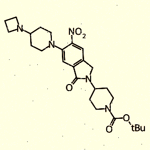 CC(C)(C)OC(=O)N1CCC(N2Cc3cc([N+](=O)[O-])c(N4CCC(N5CCC5)CC4)cc3C2=O)CC1